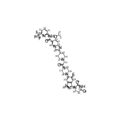 CC(C)Oc1cc2nc(C3CCN(CC(=O)N4CCN(c5cc6c(cc5F)c(N5CCC(=O)NC5=O)nn6C)CC4)CC3)cn2cc1C(=O)Nc1cccc(C(F)(F)F)n1